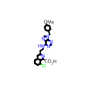 COc1ccc(Cn2cnc3c(NCCc4cc5cccc(Cl)c5c(C(=O)O)n4)ncnc32)cc1